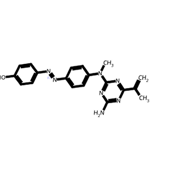 C=C(C)c1nc(N)nc(N(C)c2ccc(/N=N/c3ccc(O)cc3)cc2)n1